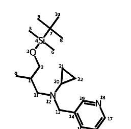 CC(CO[Si](C)(C)C(C)(C)C)CN(Cc1cccnc1)C1CC1